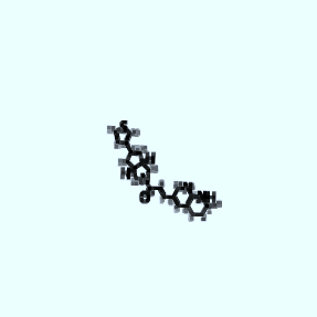 C=C1CCc2cc(/C=C/C(=O)N3C[C@@H]4CC(c5ccsc5)=C[C@@H]4C3)cnc2N1